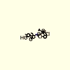 C=CC1=C(/C=C(\C)OCc2c(-c3c(Cl)cccc3Cl)noc2C2CC2)CCC(=O)N1c1ccc(C)c(O)c1